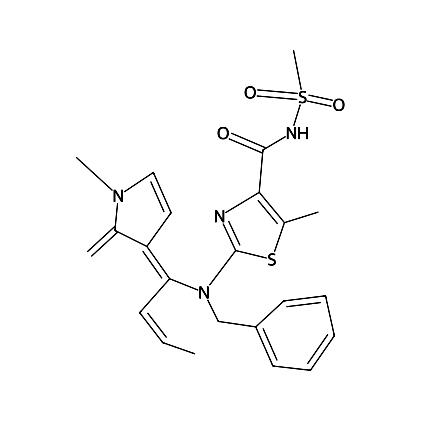 C=c1/c(=C(\C=C/C)N(Cc2ccccc2)c2nc(C(=O)NS(C)(=O)=O)c(C)s2)ccn1C